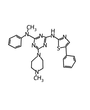 CN1CCN(c2nc(Nc3ncc(-c4ccccc4)s3)nc(N(C)c3ccccc3)n2)CC1